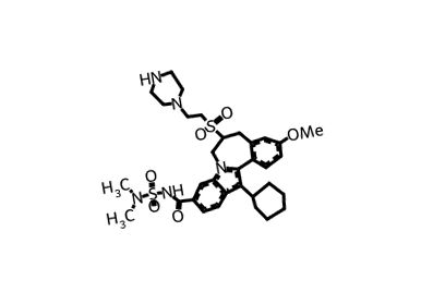 COc1ccc2c(c1)CC(S(=O)(=O)CCN1CCNCC1)Cn1c-2c(C2CCCCC2)c2ccc(C(=O)NS(=O)(=O)N(C)C)cc21